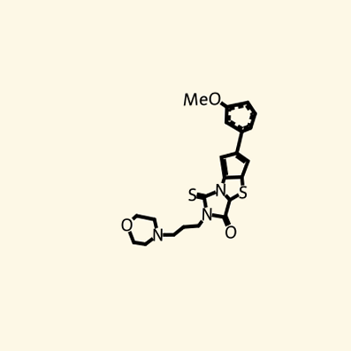 COc1cccc(C2=CC3SC4C(=O)N(CCCN5CCOCC5)C(=S)N4C3=C2)c1